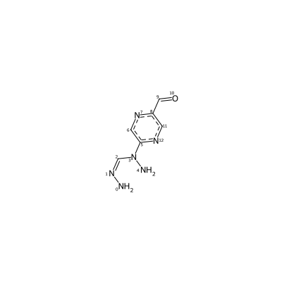 N/N=C\N(N)c1cnc(C=O)cn1